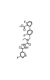 CCN(Cc1ccc(-c2cccc(F)c2C(=O)OC)cc1F)C(=O)NNC(=O)c1cncc(F)c1